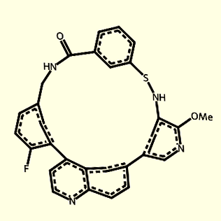 COc1ncc2cc1NSc1cccc(c1)C(=O)NCc1ccc(F)c(c1)-c1ccnc3ccc-2cc13